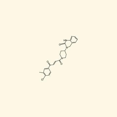 Cc1cc(C(=O)C=CC(=O)N2CCC(N3Cc4ccccc4NC3=O)CC2)ccc1Cl